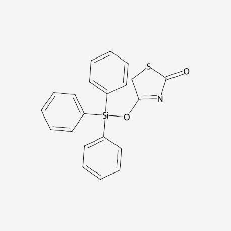 O=C1N=C(O[Si](c2ccccc2)(c2ccccc2)c2ccccc2)CS1